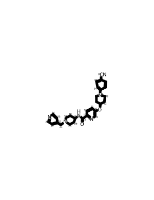 N#Cc1ccc(N2CCC(Oc3ccc(C(=O)NC4CCN(Cc5ccncc5)CC4)nc3)CC2)cc1